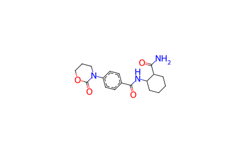 NC(=O)C1CCCCC1NC(=O)c1ccc(N2CCCOC2=O)cc1